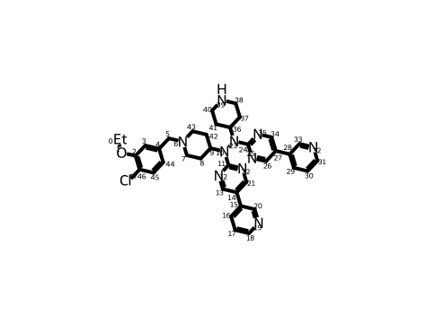 CCOc1cc(CN2CCC(N(c3ncc(-c4cccnc4)cn3)N(c3ncc(-c4cccnc4)cn3)C3CCNCC3)CC2)ccc1Cl